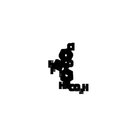 O=C(O)Nc1ccc(C(=O)C2(c3ccc(Cl)cc3)CC(F)(F)C2)nc1